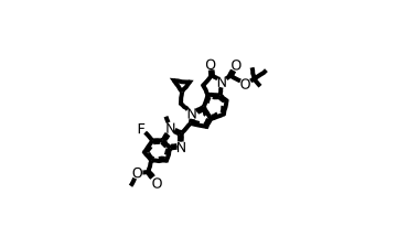 COC(=O)c1cc(F)c2c(c1)nc(-c1cc3ccc4c(c3n1CC1CC1)CC(=O)N4C(=O)OC(C)(C)C)n2C